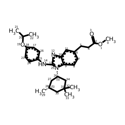 COC(=O)CCc1ccc2c(c1)nc(Nc1ccc(OC(C)C)cc1)n2[C@H]1C[C@@H](C)CC(C)(C)C1